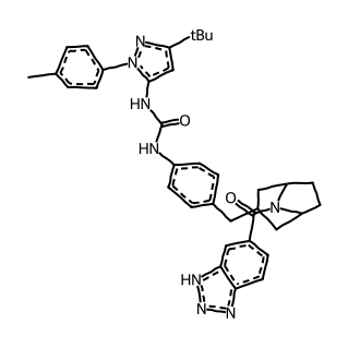 Cc1ccc(-n2nc(C(C)(C)C)cc2NC(=O)Nc2ccc(CC3CC4CCC(C3)N4C(=O)c3ccc4nn[nH]c4c3)cc2)cc1